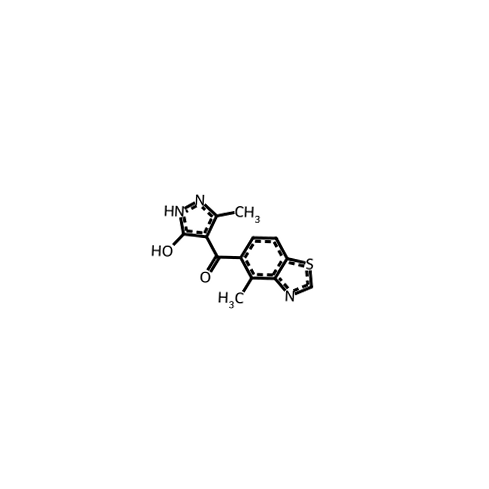 Cc1n[nH]c(O)c1C(=O)c1ccc2scnc2c1C